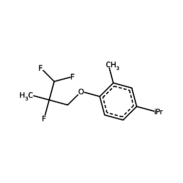 Cc1cc(C(C)C)ccc1OCC(C)(F)C(F)F